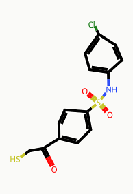 O=C(CS)c1ccc(S(=O)(=O)Nc2ccc(Cl)cc2)cc1